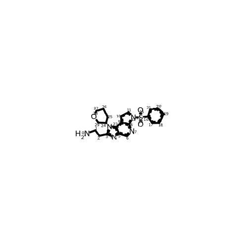 NCCc1nc2cnc3c(ccn3S(=O)(=O)c3ccccc3)c2n1[C@H]1CCCOC1